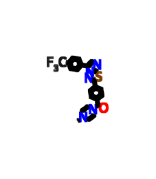 CN1CCN(C(=O)c2ccc(-c3nn4c(-c5ccc(C(F)(F)F)cc5)cnc4s3)cc2)CC1